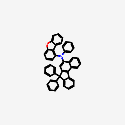 c1ccc(N(c2cc3c(c4ccccc24)-c2ccccc2C3(c2ccccc2)c2ccccc2)c2cccc3oc4ccccc4c23)cc1